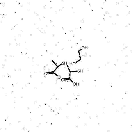 CC(S)C(=O)O.CC(S)C(=O)O.OCCO